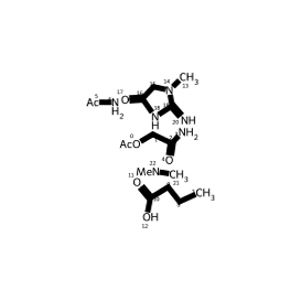 CC(=O)OCC(N)=O.CC(N)=O.CCCC(=O)O.CN1CC(=O)NC1=N.CNC